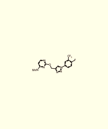 CNc1ccnc(OCc2cn(-c3ccc(F)c(C(F)(F)F)c3)nn2)n1